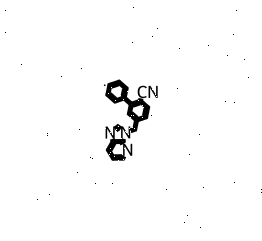 N#Cc1ccc(Cn2cnc3cccnc32)cc1-c1cc[c]cc1